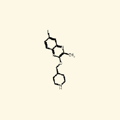 Cc1nc2cc(I)ccc2nc1OCC1CCNCC1